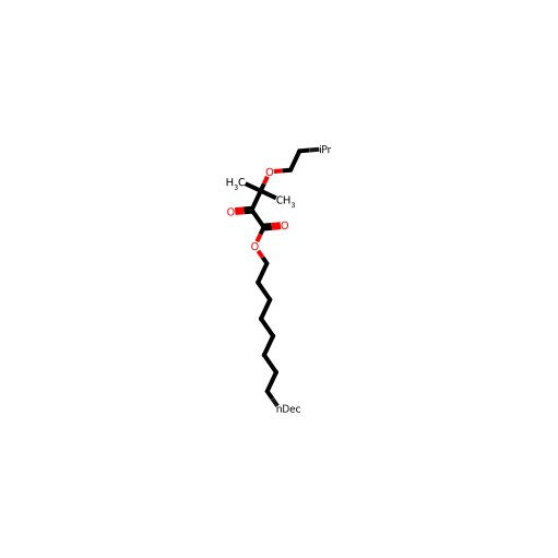 CCCCCCCCCCCCCCCCCCOC(=O)C(=O)C(C)(C)OCCC(C)C